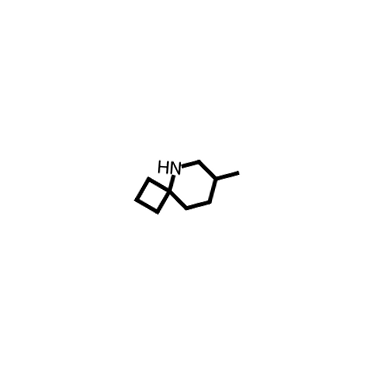 CC1CCC2(CCC2)NC1